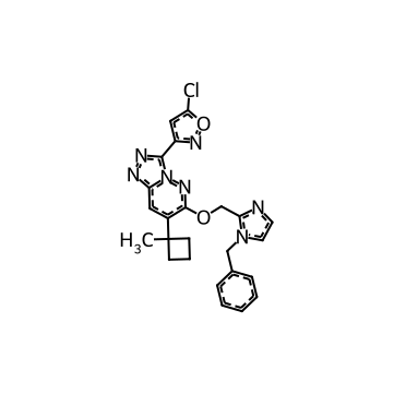 CC1(c2cc3nnc(-c4cc(Cl)on4)n3nc2OCc2nccn2Cc2ccccc2)CCC1